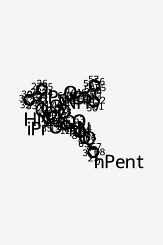 CCCCCc1ccc(-c2cc3cn([C@H]4CC(OC(=O)C(NC(=O)OCC5c6ccccc6-c6ccccc65)C(C)C)[C@@H](COC(=O)C(NC(=O)OCC5c6ccccc6-c6ccccc65)C(C)C)O4)c(=O)nc3o2)cc1